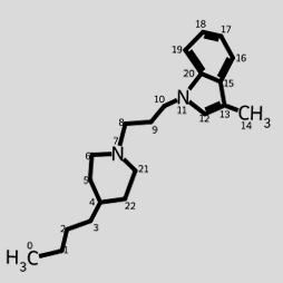 CCCCC1CCN(CCCn2cc(C)c3ccccc32)CC1